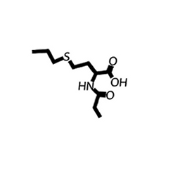 CCCSCCC(NC(=O)CC)C(=O)O